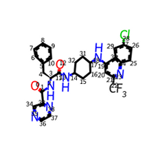 O=C(N[C@@H](Cc1ccccc1)C(=O)NC1CCC(Nc2cc(C(F)(F)F)nc3ccc(Cl)cc23)CC1)c1cnccn1